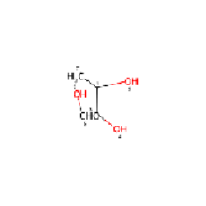 CC(O)CO.O=CO